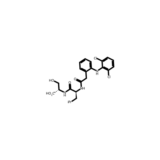 CC(C)C[C@H](NC(=O)Cc1ccccc1Nc1c(Cl)cccc1Cl)C(=O)N[C@@H](CO)C(=O)O